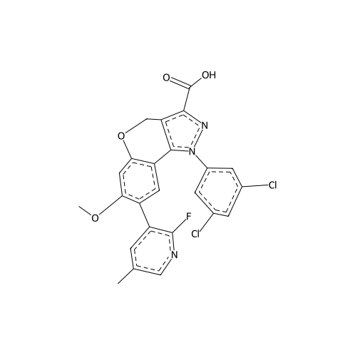 COc1cc2c(cc1-c1cc(C)cnc1F)-c1c(c(C(=O)O)nn1-c1cc(Cl)cc(Cl)c1)CO2